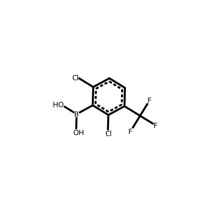 OB(O)c1c(Cl)ccc(C(F)(F)F)c1Cl